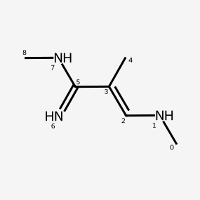 CN/C=C(\C)C(=N)NC